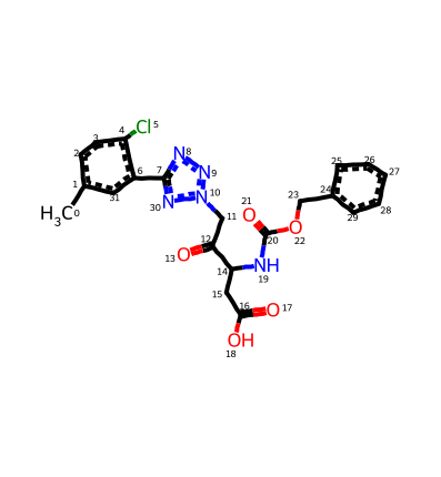 Cc1ccc(Cl)c(-c2nnn(CC(=O)C(CC(=O)O)NC(=O)OCc3ccccc3)n2)c1